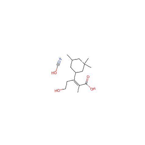 CC(C(=O)O)=C(CCO)C1CC(C)CC(C)(C)C1.N#CO